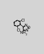 Nc1nonc1-c1c(Cl)cccc1Cl